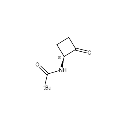 CC(C)(C)C(=O)N[C@H]1CCC1=O